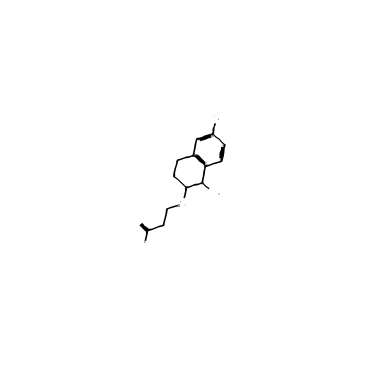 Nc1ccc2c(c1)CCC(NCCC(=O)O)C2O